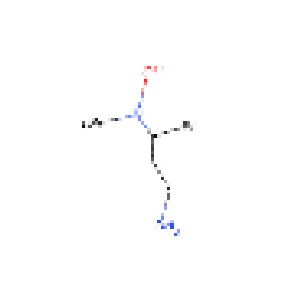 CCCN(O)C(CC)CCN